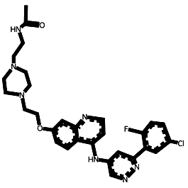 CC(=O)NCCN1CCN(CCOc2ccc3c(Nc4cnnc(-c5cc(Cl)ccc5F)c4)ccnc3c2)CC1